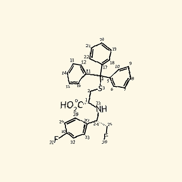 O=C(O)[C@H](CSC(c1ccccc1)(c1ccccc1)c1ccccc1)N[C@H](CF)c1ccc(F)cc1